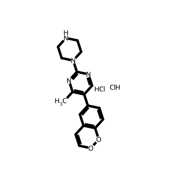 Cc1nc(N2CCNCC2)ncc1-c1ccc2c(c1)C=COO2.Cl.Cl